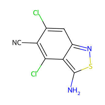 N#Cc1c(Cl)cc2nsc(N)c2c1Cl